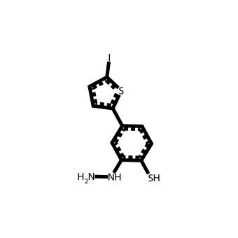 NNc1cc(-c2ccc(I)s2)ccc1S